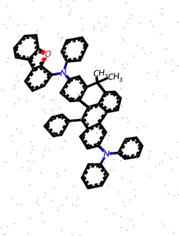 CC1(C)c2cc(N(c3ccccc3)c3cccc4c3oc3ccccc34)ccc2-c2c(-c3ccccc3)c3ccc(N(c4ccccc4)c4ccccc4)cc3c3cccc1c23